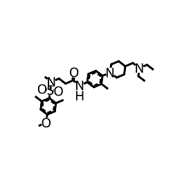 CCN(CC)CC1CCN(c2ccc(NC(=O)CCN(C)S(=O)(=O)c3c(C)cc(OC)cc3C)cc2C)CC1